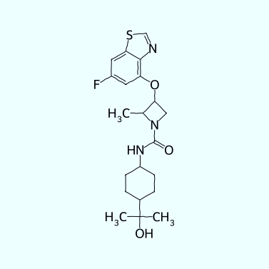 CC1C(Oc2cc(F)cc3scnc23)CN1C(=O)NC1CCC(C(C)(C)O)CC1